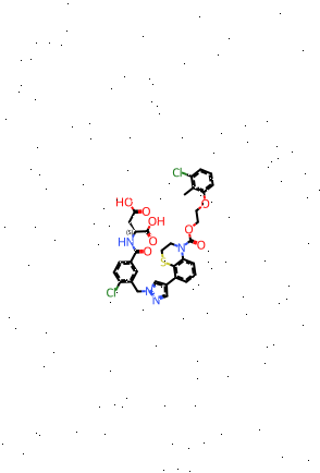 Cc1c(Cl)cccc1OCCOC(=O)N1CCSc2c(-c3cnn(Cc4cc(C(=O)N[C@@H](CC(=O)O)C(=O)O)ccc4Cl)c3)cccc21